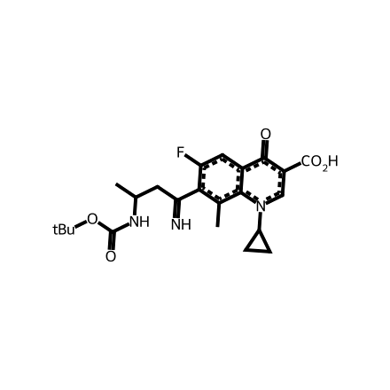 Cc1c(C(=N)CC(C)NC(=O)OC(C)(C)C)c(F)cc2c(=O)c(C(=O)O)cn(C3CC3)c12